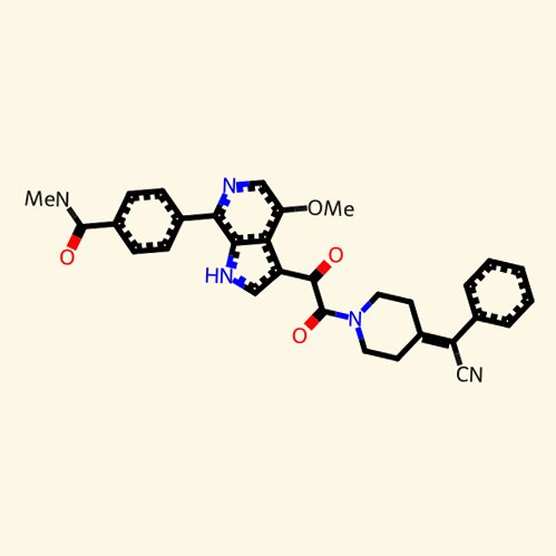 CNC(=O)c1ccc(-c2ncc(OC)c3c(C(=O)C(=O)N4CCC(=C(C#N)c5ccccc5)CC4)c[nH]c23)cc1